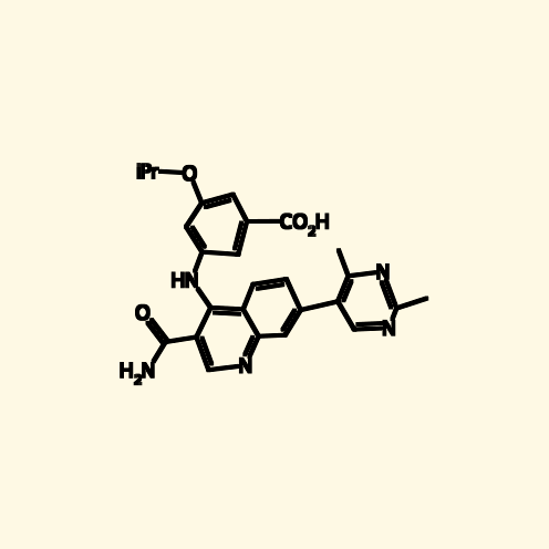 Cc1ncc(-c2ccc3c(Nc4cc(OC(C)C)cc(C(=O)O)c4)c(C(N)=O)cnc3c2)c(C)n1